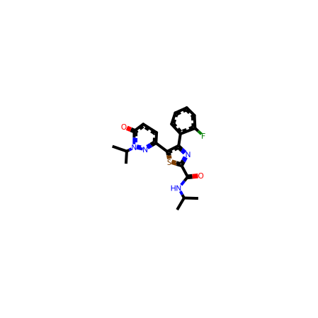 CC(C)NC(=O)c1nc(-c2ccccc2F)c(-c2ccc(=O)n(C(C)C)n2)s1